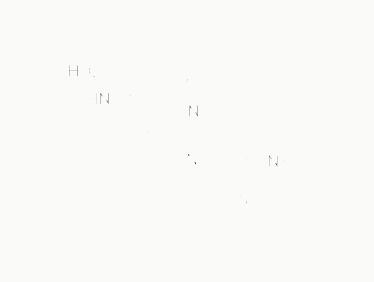 CNc1ccn2cc(-c3nccs3)nc2c1